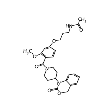 COc1cc(OCCCNC(C)=O)ccc1C(=O)N1CCC(N2C(=O)OCc3ccccc32)CC1